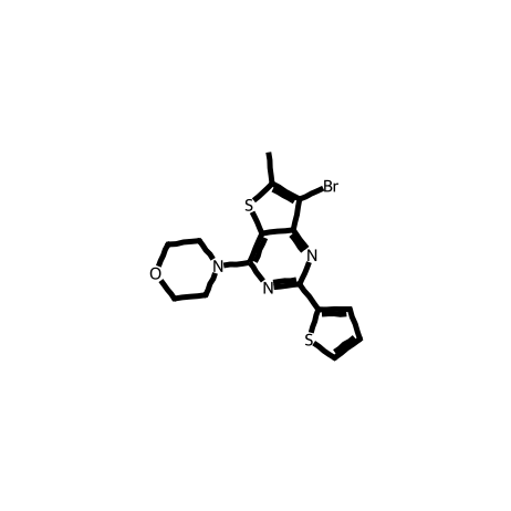 Cc1sc2c(N3CCOCC3)nc(-c3cccs3)nc2c1Br